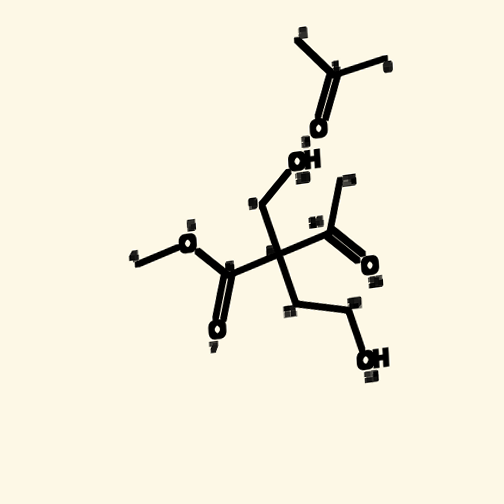 CC(C)=O.COC(=O)C(CO)(CCO)C(C)=O